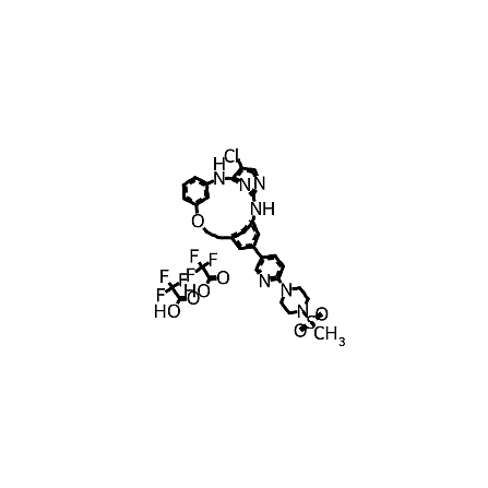 CS(=O)(=O)N1CCN(c2ccc(-c3cc4cc(c3)Nc3ncc(Cl)c(n3)Nc3cccc(c3)OCC4)cn2)CC1.O=C(O)C(F)(F)F.O=C(O)C(F)(F)F